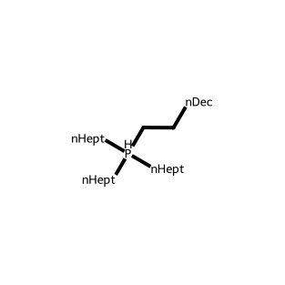 CCCCCCCCCCCC[PH](CCCCCCC)(CCCCCCC)CCCCCCC